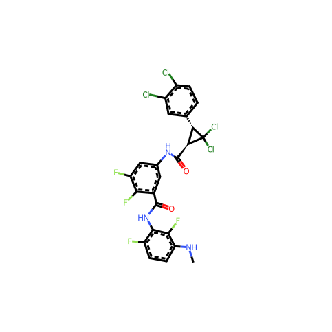 CNc1ccc(F)c(NC(=O)c2cc(NC(=O)[C@H]3[C@H](c4ccc(Cl)c(Cl)c4)C3(Cl)Cl)cc(F)c2F)c1F